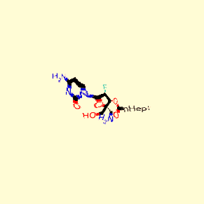 CCCCCCCC(=O)O[C@H]1[C@@H](F)C(n2ccc(N)nc2=O)O[C@]1(CN)CO